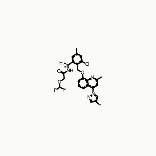 CC[C@H](NC(=O)COC(F)F)c1cc(C)cc(Cl)c1COc1cccc2c(-n3cc(F)cn3)cc(C)nc12